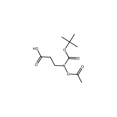 CC(=O)ON(CCC(=O)O)C(=O)OC(C)(C)C